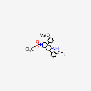 COc1cccc(C23CCN(C(=O)OCC(Cl)(Cl)Cl)CC2Cc2c([nH]c4c(C)cccc24)C3)c1